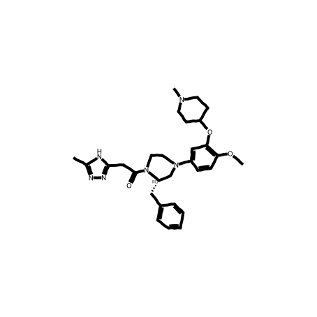 COc1ccc(N2CCN(C(=O)Cc3nnc(C)[nH]3)[C@@H](Cc3ccccc3)C2)cc1OC1CCN(C)CC1